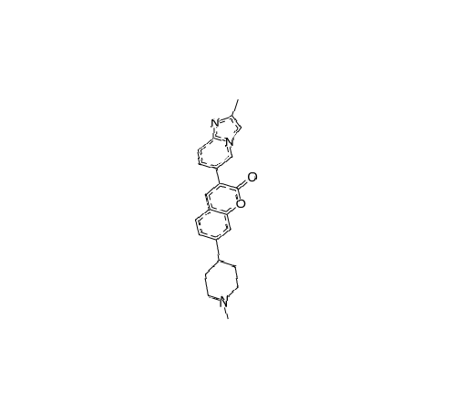 Cc1cn2cc(-c3cc4ccc(C5CCN(C)CC5)cc4oc3=O)ccc2n1